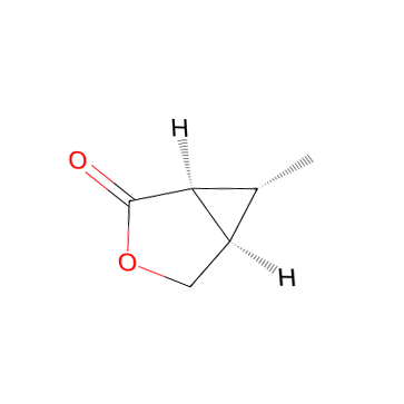 C[C@@H]1[C@H]2COC(=O)[C@@H]12